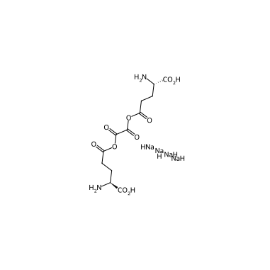 N[C@@H](CCC(=O)OC(=O)C(=O)OC(=O)CC[C@H](N)C(=O)O)C(=O)O.[NaH].[NaH].[NaH].[NaH]